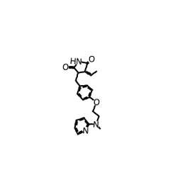 C/C=C1\C(=O)NC(=O)C1Cc1ccc(OCCN(C)c2ccccn2)cc1